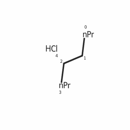 CCCCCCCC.Cl